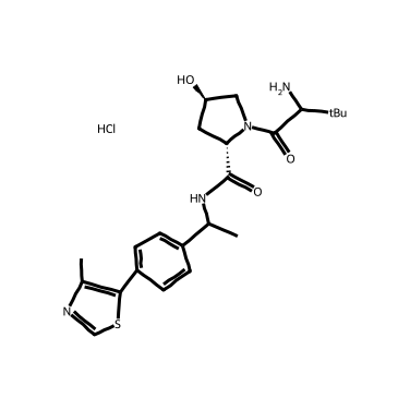 Cc1ncsc1-c1ccc(C(C)NC(=O)[C@@H]2C[C@@H](O)CN2C(=O)C(N)C(C)(C)C)cc1.Cl